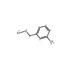 CCOCc1cccc(C(F)(F)F)c1